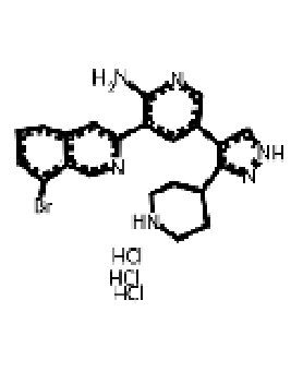 Cl.Cl.Cl.Nc1ncc(-c2c[nH]nc2C2CCNCC2)cc1-c1cc2cccc(Br)c2cn1